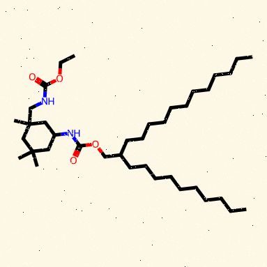 CCCCCCCCCCCCC(CCCCCCCCCC)COC(=O)NC1CC(C)(C)CC(C)(CNC(=O)OCC)C1